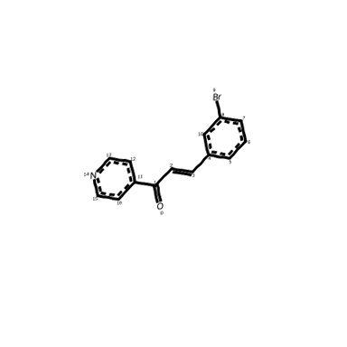 O=C(C=Cc1cccc(Br)c1)c1ccncc1